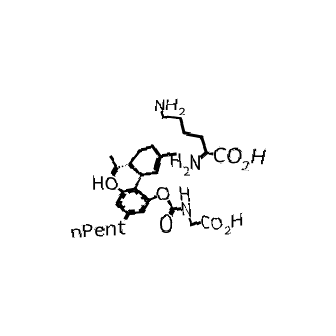 C=C(C)[C@@H]1CCC(C)=C[C@H]1c1c(O)cc(CCCCC)cc1OC(=O)NCC(=O)O.NCCCC[C@H](N)C(=O)O